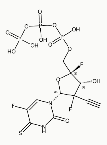 C#CC1(F)[C@@H](O)[C@@](F)(COP(=O)(O)OP(=O)(O)OP(=O)(O)O)O[C@H]1n1cc(F)c(=S)[nH]c1=O